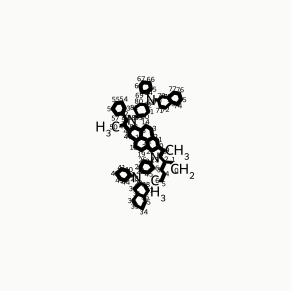 C=C/C(=C\C=C/C)c1c(C)c2cc3ccc4c5c(ccc(c35)c2n1-c1ccc(N(C2=CC3C=CC=CC3C=C2)c2ccccc2)cc1)cc1c(C)c(-c2ccccc2)n(C2=CC=C(N(c3ccccc3)C3C=Cc5ccccc5C3)CC2)c14